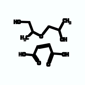 CC(O)COC(C)CO.O=C(O)/C=C\C(=O)O